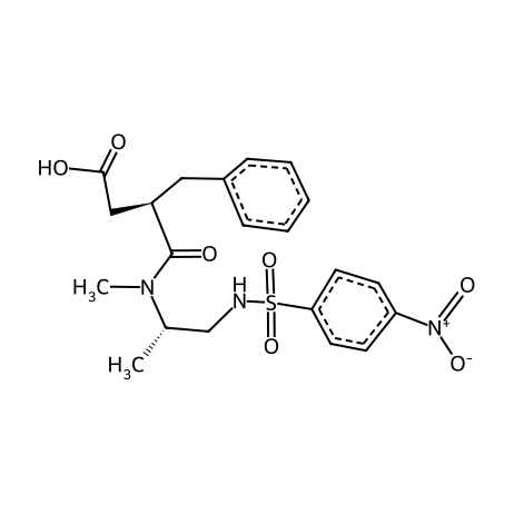 C[C@@H](CNS(=O)(=O)c1ccc([N+](=O)[O-])cc1)N(C)C(=O)[C@@H](CC(=O)O)Cc1ccccc1